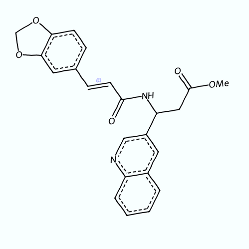 COC(=O)CC(NC(=O)/C=C/c1ccc2c(c1)OCO2)c1cnc2ccccc2c1